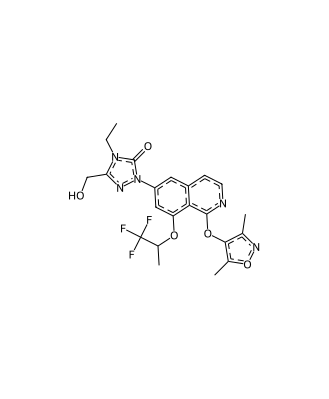 CCn1c(CO)nn(-c2cc(OC(C)C(F)(F)F)c3c(Oc4c(C)noc4C)nccc3c2)c1=O